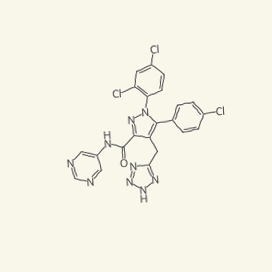 O=C(Nc1cncnc1)c1nn(-c2ccc(Cl)cc2Cl)c(-c2ccc(Cl)cc2)c1Cc1nn[nH]n1